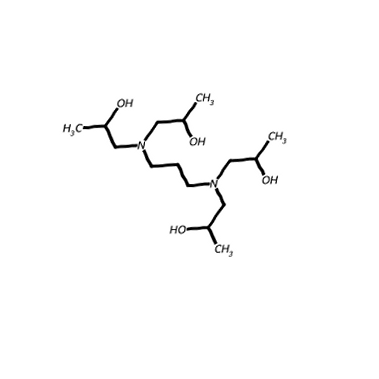 CC(O)CN(CCCN(CC(C)O)CC(C)O)CC(C)O